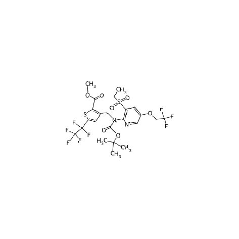 CCS(=O)(=O)c1cc(OCC(F)(F)F)cnc1N(Cc1cc(C(F)(F)C(F)(F)F)sc1C(=O)OC)C(=O)OC(C)(C)C